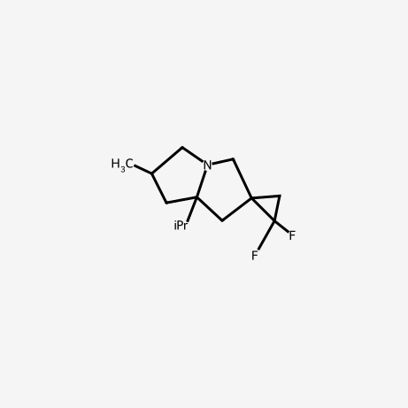 CC1CN2CC3(CC2(C(C)C)C1)CC3(F)F